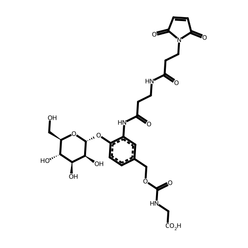 O=C(O)CNC(=O)OCc1ccc(O[C@H]2O[C@H](CO)[C@@H](O)[C@H](O)[C@@H]2O)c(NC(=O)CCNC(=O)CCN2C(=O)C=CC2=O)c1